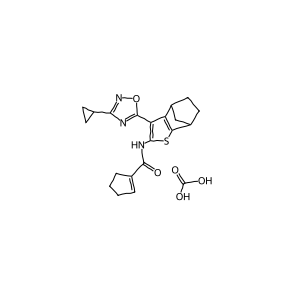 O=C(Nc1sc2c(c1-c1nc(C3CC3)no1)C1CCC2C1)C1=CCCC1.O=C(O)O